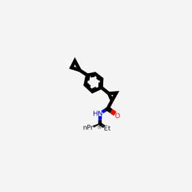 CCC[C@H](CC)NC(=O)C1CC1c1ccc(C2CC2)cc1